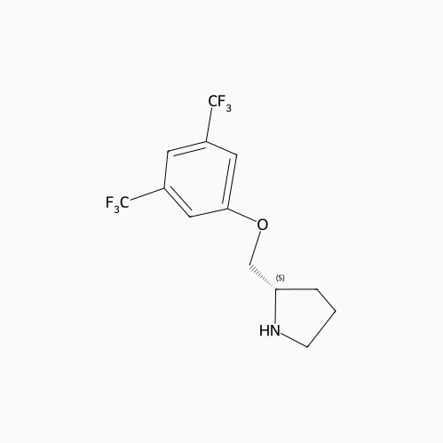 FC(F)(F)c1cc(OC[C@@H]2CCCN2)cc(C(F)(F)F)c1